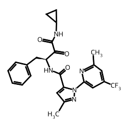 Cc1cc(C(F)(F)F)cc(-n2nc(C)cc2C(=O)N[C@@H](Cc2ccccc2)C(=O)C(=O)NC2CC2)n1